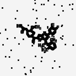 COC1CN(C(=O)c2cc3nc(-c4ccc(F)c(Cl)c4)cc(N(C)c4c(C)cccc4C)n3n2)CCC1CC(=O)O